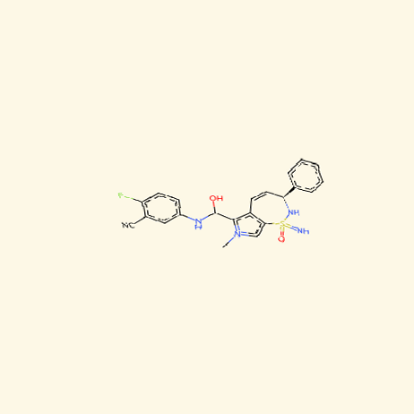 Cn1cc2c(c1C(O)Nc1ccc(F)c(C#N)c1)C=C[C@@H](c1ccccc1)NS2(=N)=O